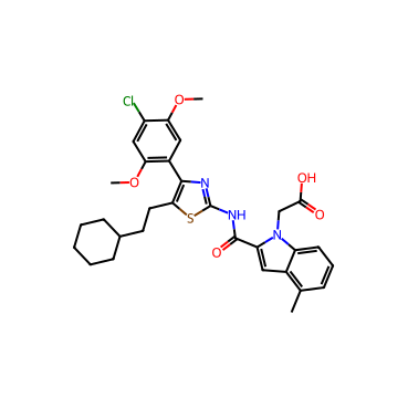 COc1cc(-c2nc(NC(=O)c3cc4c(C)cccc4n3CC(=O)O)sc2CCC2CCCCC2)c(OC)cc1Cl